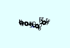 COc1cc(/C=C2/SC(N3CCN(c4cnccn4)CC3)=NC2=O)ccc1OCc1ccc(C(F)(F)F)cc1C(F)(F)F